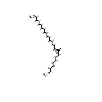 CCCCCCCCCCCCCCCCCC1=C(CCCCCCCC)C1